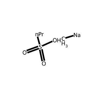 CCCS(=O)(=O)O.[CH3][Na]